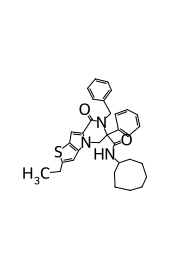 CCc1cc2c(cc3n2CC(C(=O)NC2CCCCCCC2)(c2ccccc2)N(Cc2ccccc2)C3=O)s1